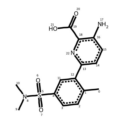 Cc1ccc(S(=O)(=O)N(C)C)cc1-c1ccc(N)c(C(=O)O)n1